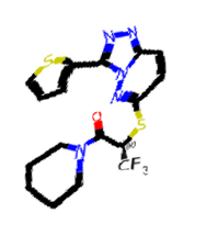 O=C([C@@H](Sc1ccc2nnc(-c3cccs3)n2n1)C(F)(F)F)N1CCCCC1